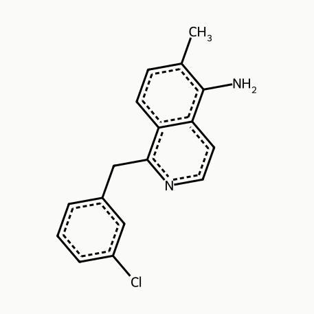 Cc1ccc2c(Cc3cccc(Cl)c3)nccc2c1N